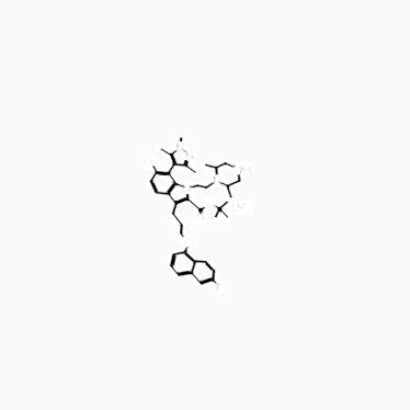 Cc1nn(C)c(C)c1-c1c(Cl)ccc2c(CCCOc3cccc4cc(F)ccc34)c(C(=O)OC(C)(C)C)n(CCN3C(C)CNCC3C)c12.Cl